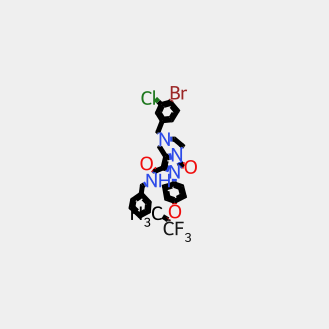 CC(Oc1ccc(-n2c(C(=O)NCc3ccccc3)c3n(c2=O)CCN(Cc2ccc(Br)c(Cl)c2)C3)cc1)C(F)(F)F